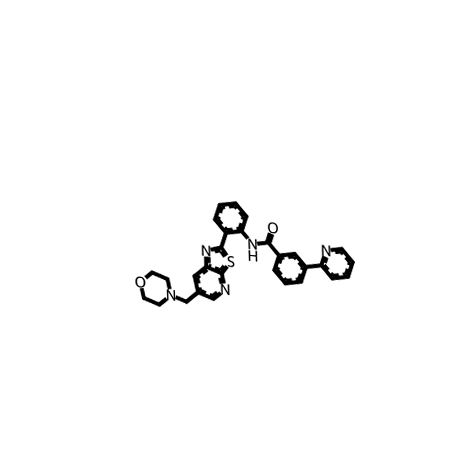 O=C(Nc1ccccc1-c1nc2cc(CN3CCOCC3)cnc2s1)c1cccc(-c2ccccn2)c1